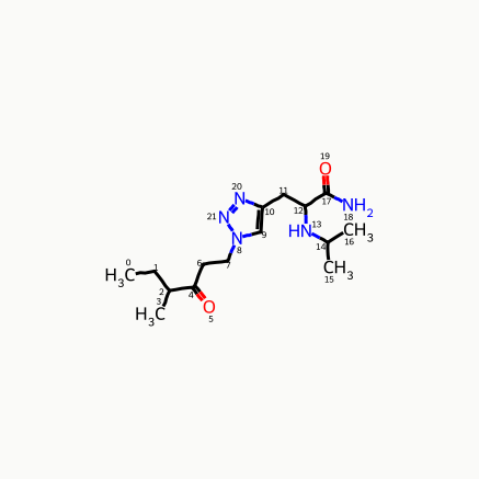 CCC(C)C(=O)CCn1cc(CC(NC(C)C)C(N)=O)nn1